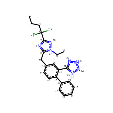 CCCC(F)(F)c1nc(Cc2ccc(-c3ccccc3)c(-c3nnn[nH]3)c2)n(CC)n1